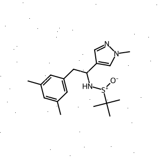 Cc1cc(C)cc(CC(N[S+]([O-])C(C)(C)C)c2cnn(C)c2)c1